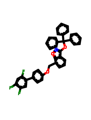 Fc1cc(F)c(-c2ccc(OCc3cccc4c(OC(c5ccccc5)(c5ccccc5)c5ccccc5)noc34)cc2)cc1F